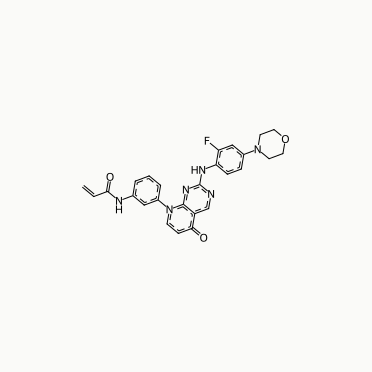 C=CC(=O)Nc1cccc(-n2ccc(=O)c3cnc(Nc4ccc(N5CCOCC5)cc4F)nc32)c1